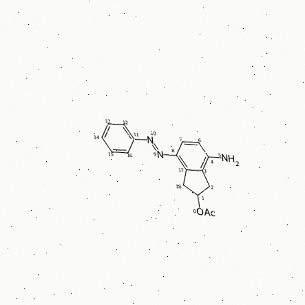 CC(=O)OC1Cc2c(N)ccc(N=Nc3ccccc3)c2C1